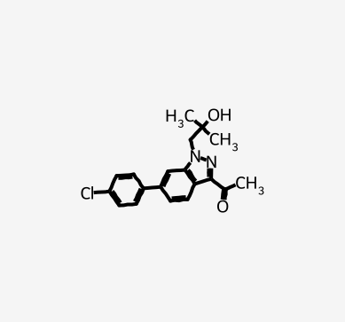 CC(=O)c1nn(CC(C)(C)O)c2cc(-c3ccc(Cl)cc3)ccc12